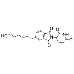 O=C1CCC(N2C(=O)c3ccc(CCCCCCO)cc3C2=O)C(=O)N1